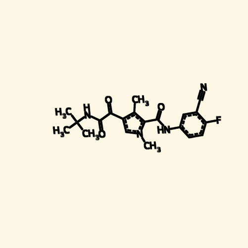 Cc1c(C(=O)C(=O)NC(C)(C)C)cn(C)c1C(=O)Nc1ccc(F)c(C#N)c1